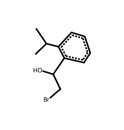 CC(C)c1ccccc1C(O)CBr